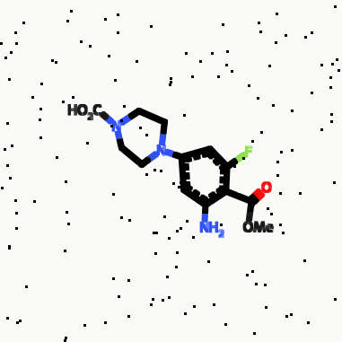 COC(=O)c1c(N)cc(N2CCN(C(=O)O)CC2)cc1F